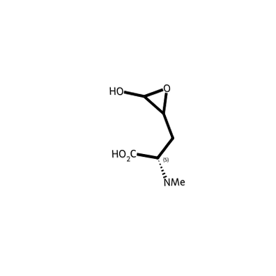 CN[C@@H](CC1OC1O)C(=O)O